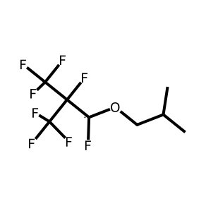 CC(C)CO[C](F)C(F)(C(F)(F)F)C(F)(F)F